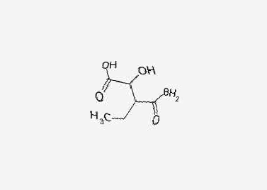 BC(=O)C(CC)C(O)C(=O)O